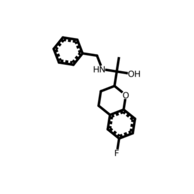 CC(O)(NCc1ccccc1)C1CCc2cc(F)ccc2O1